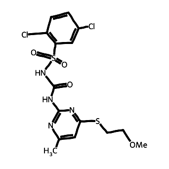 COCCSc1cc(C)nc(NC(=O)NS(=O)(=O)c2cc(Cl)ccc2Cl)n1